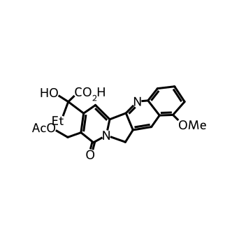 CCC(O)(C(=O)O)c1cc2n(c(=O)c1COC(C)=O)Cc1cc3c(OC)cccc3nc1-2